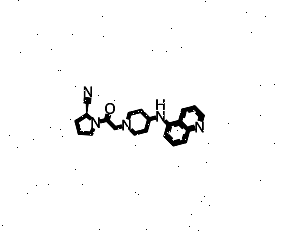 N#C[C@@H]1CCCN1C(=O)CN1CCC(Nc2cccc3ncccc23)CC1